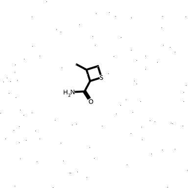 C[C]1CSC1C(N)=O